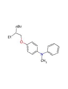 CCCCC(CC)COc1ccc(N(C)c2ccccc2)cc1